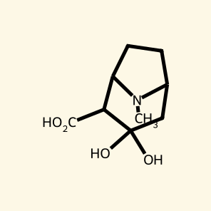 CN1C2CCC1C(C(=O)O)C(O)(O)C2